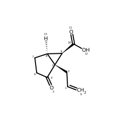 C=CC[C@@]12C(=O)CC[C@H]1[C@H]2C(=O)O